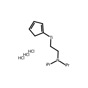 CC(C)N(C[CH2][Ti][C]1=CC=CC1)C(C)C.Cl.Cl.Cl